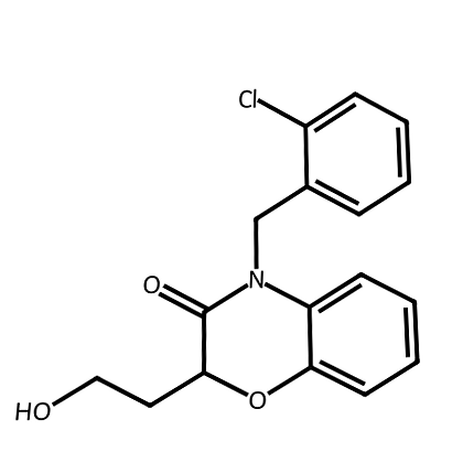 O=C1C(CCO)Oc2ccccc2N1Cc1ccccc1Cl